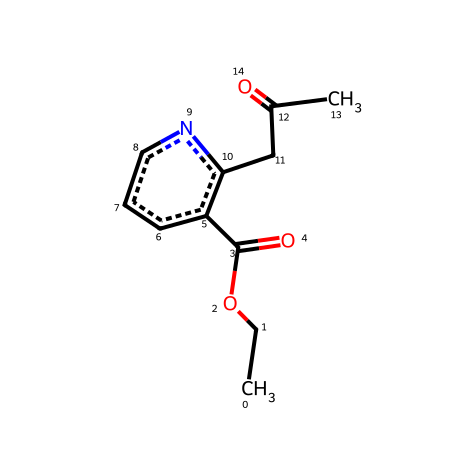 CCOC(=O)c1cccnc1CC(C)=O